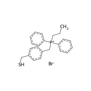 CCC[P+](Cc1ccc(CS)cc1)(c1ccccc1)c1ccccc1.[Br-]